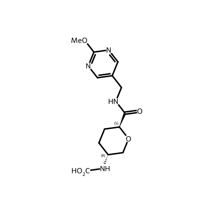 COc1ncc(CNC(=O)[C@@H]2CC[C@@H](NC(=O)O)CO2)cn1